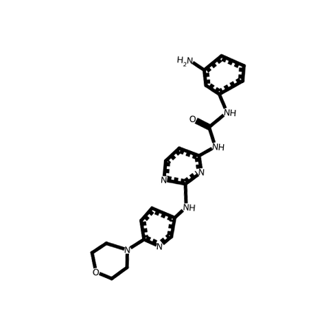 Nc1cccc(NC(=O)Nc2ccnc(Nc3ccc(N4CCOCC4)nc3)n2)c1